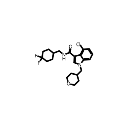 O=C(NCC1CCC(F)(F)CC1)c1cn(CC2CCOCC2)c2cccc(Cl)c12